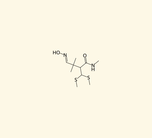 CNC(=O)C(C(SC)SC)C(C)(C)C=NO